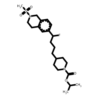 CC(C)OC(=O)N1CCC(CCCC(F)c2ccc3c(c2)CCN(S(C)(=O)=O)C3)CC1